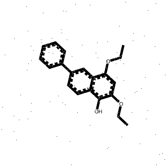 CCOc1cc(OCC)c2cc(-c3ccccc3)ccc2c1O